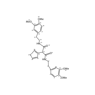 COc1ccc(CCNC(=O)C(C(=O)NCCc2ccc(OC)c(OC)c2)c2ccsc2)cc1OC